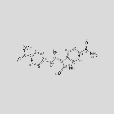 CCC/C(Nc1ccc(C(=O)OC)cc1)=C1/C(=O)Nc2cc(C(N)=O)ccc21